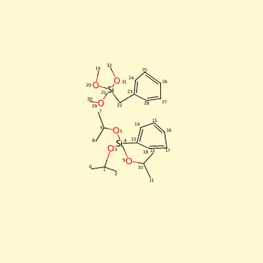 CC(C)O[Si](OC(C)C)(OC(C)C)c1ccccc1.CO[Si](Cc1ccccc1)(OC)OC